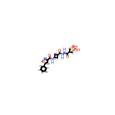 O=C(NC1CC(C(=O)NNC(=O)C2CS(O)(O)C2)C1)c1cc(-c2ccccc2)on1